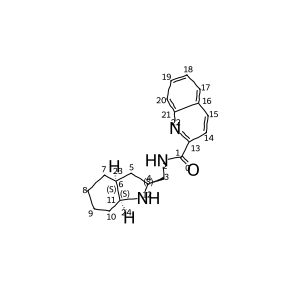 O=C(NC[C@@H]1C[C@@H]2CCCC[C@@H]2N1)c1ccc2ccccc2n1